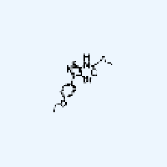 CCOc1ccc(-c2nsc(NC(=O)C3CC3C)c2Br)cc1